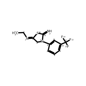 CCN=C1CN(c2cccc(C(F)(F)F)c2)C(=N)S1